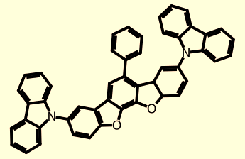 C1=CC2Oc3c(c(-c4ccccc4)cc4c3oc3ccc(-n5c6ccccc6c6ccccc65)cc34)C2C=C1n1c2ccccc2c2ccccc21